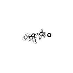 Cc1cc(C(C)(C)C)ccc1OCc1cc(=O)n2nc(-c3ccccc3)nc2[nH]1